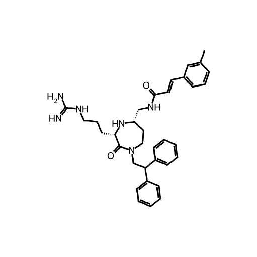 Cc1cccc(/C=C/C(=O)NC[C@@H]2CCN(CC(c3ccccc3)c3ccccc3)C(=O)[C@H](CCCNC(=N)N)N2)c1